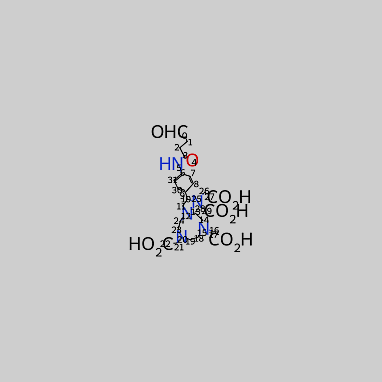 O=CCCC(=O)Nc1ccc(C(CN2CCN(CC(=O)O)CCN(CC(=O)O)CC2)N(CC(=O)O)CC(=O)O)cc1